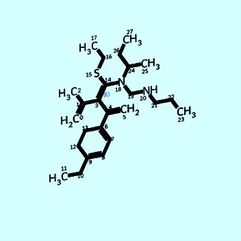 C=C(C)/C(C(=C)C1=CC=C(CC)CC1)=C(\SCC)N(CNCCC)C(C)CC